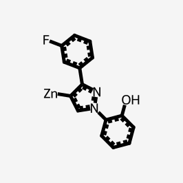 Oc1ccccc1-n1c[c]([Zn])c(-c2cccc(F)c2)n1